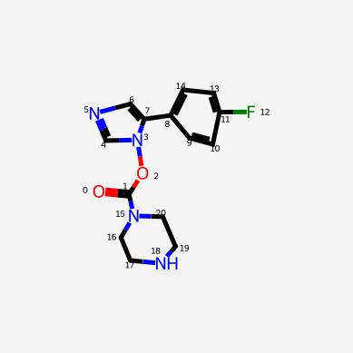 O=C(On1cncc1-c1ccc(F)cc1)N1CCNCC1